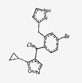 O=C(c1ccc(Br)cc1Cc1cc[nH]n1)c1cnoc1C1CC1